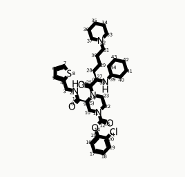 O=C(NCc1cccs1)[C@@H]1CN(C(=O)Oc2ccccc2Cl)CCN1C(=O)[C@@H](CCCCN1CCCCC1)NC1CCCCC1